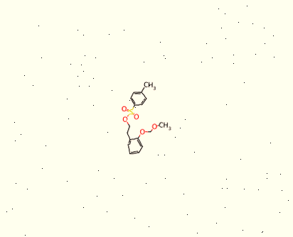 COCOc1ccccc1CCOS(=O)(=O)c1ccc(C)cc1